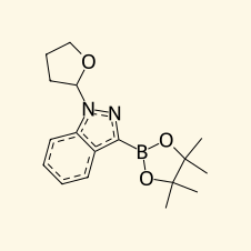 CC1(C)OB(c2nn(C3CCCO3)c3ccccc23)OC1(C)C